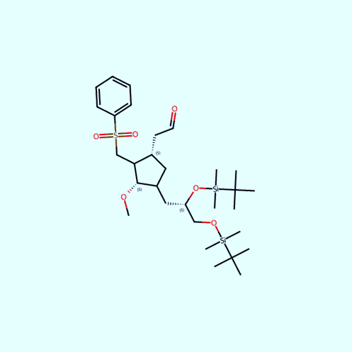 CO[C@H]1C(C[C@@H](CO[Si](C)(C)C(C)(C)C)O[Si](C)(C)C(C)(C)C)C[C@@H](CC=O)C1CS(=O)(=O)c1ccccc1